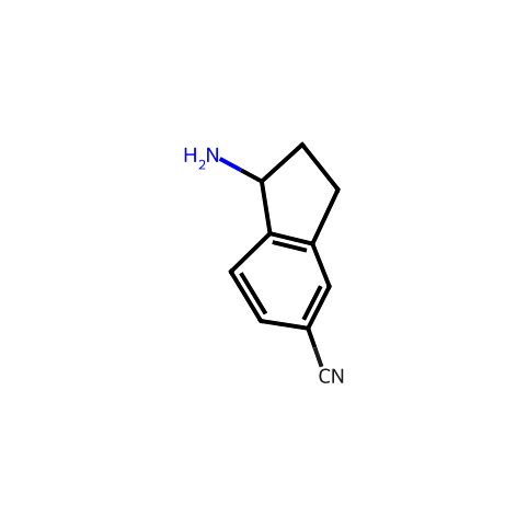 N#Cc1ccc2c(c1)CCC2N